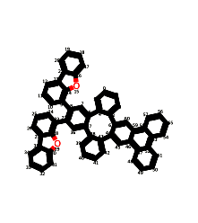 c1ccc2c(c1)-c1cc(-c3cccc4c3oc3ccccc34)c(-c3cccc4c3oc3ccccc34)cc1-c1ccccc1-c1cc3c4ccccc4c4ccccc4c3cc1-2